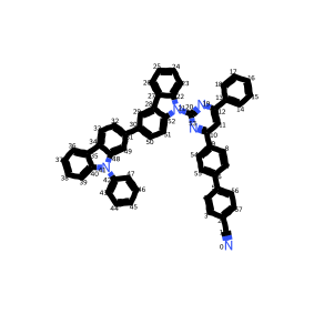 N#Cc1ccc(-c2ccc(-c3cc(-c4ccccc4)nc(-n4c5ccccc5c5cc(-c6ccc7c8ccccc8n(-c8ccccc8)c7c6)ccc54)n3)cc2)cc1